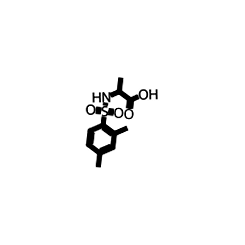 Cc1ccc(S(=O)(=O)NC(C)C(=O)O)c(C)c1